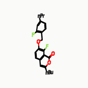 CCCCc1cc2ccc(OCc3ccc(CCC)cc3F)c(F)c2c(=O)o1